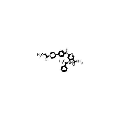 CCC(=O)N1CCC(c2ccc(Nc3cc(NC(C)c4ccccc4)c(C(N)=O)cn3)cc2)CC1